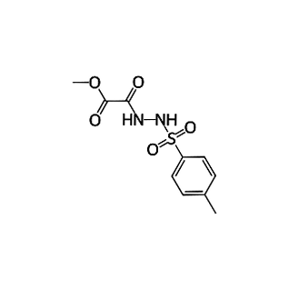 COC(=O)C(=O)NNS(=O)(=O)c1ccc(C)cc1